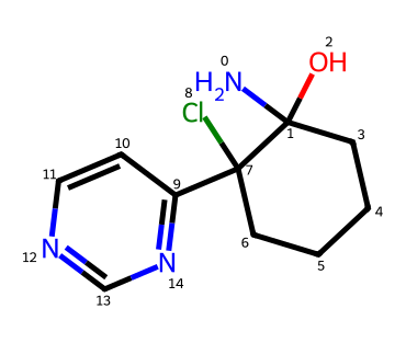 NC1(O)CCCCC1(Cl)c1ccncn1